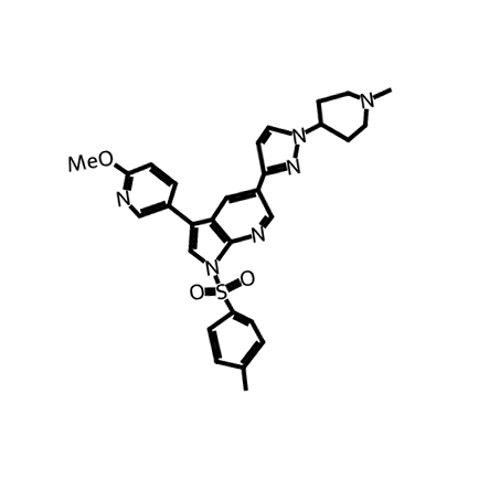 COc1ccc(-c2cn(S(=O)(=O)c3ccc(C)cc3)c3ncc(-c4ccn(C5CCN(C)CC5)n4)cc23)cn1